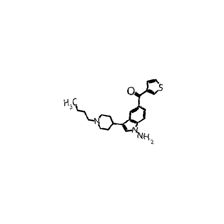 CCCCN1CCC(c2cn(N)c3ccc(C(=O)c4ccsc4)cc23)CC1